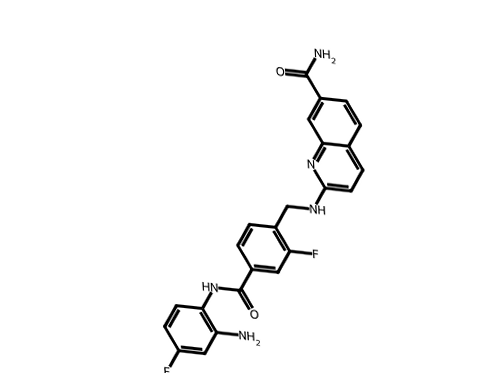 NC(=O)c1ccc2ccc(NCc3ccc(C(=O)Nc4ccc(F)cc4N)cc3F)nc2c1